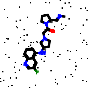 CN=C[C@@H]1CCCN1C(=O)CN1CC[C@@H](Nc2cccc3ncc(F)cc23)C1